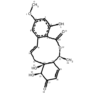 COc1cc(O)c2c(c1)/C=C/C[C@]1(O)C(C=CC(=O)[C@H]1O)[C@H](C)OC2=O